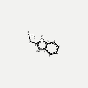 NCc1bc2ccccc2o1